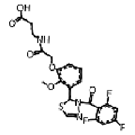 COc1c(OCC(=O)NCCC(=O)O)cccc1C1SC=NN1C(=O)c1c(F)cc(F)cc1F